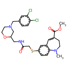 COC(=O)C1=Cc2cc(SCC(=O)NCC3CN(Cc4ccc(Cl)c(Cl)c4)CCO3)ccc2N(C)CC1